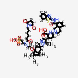 CCC1(Cn2ncc(-c3ccc(N4CCc5cccc(C(=O)Nc6nc7ccccc7s6)c5C4)nc3C(=O)O)c2C)CC2(C)CC(C)(C)CC(OCCN(CCS(=O)(=O)O)C(=O)CCCCCN3C(=O)C=CC3=O)(C2)C1